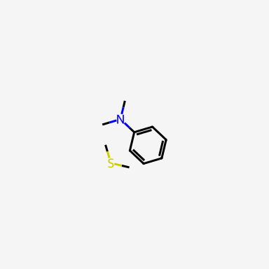 CN(C)c1ccccc1.CSC